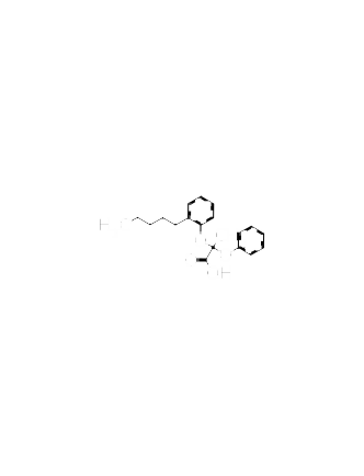 CCCCCc1ccccc1OC(C)(Oc1ccccc1)C(=O)O